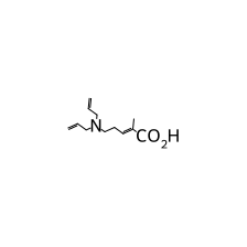 C=CCN(CC=C)CCC=C(C)C(=O)O